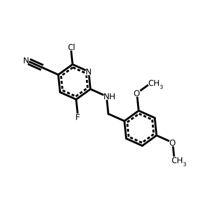 COc1ccc(CNc2nc(Cl)c(C#N)cc2F)c(OC)c1